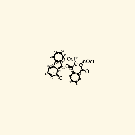 CCCCCCCCOC(=O)c1ccccc1C(=O)OCCCCCCCC.O=C1C=CC=C2C1=Cc1ccccc12